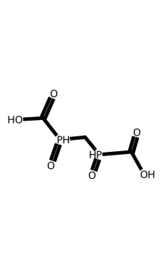 O=C(O)[PH](=O)C[PH](=O)C(=O)O